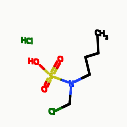 CCCCN(CCl)S(=O)(=O)O.Cl